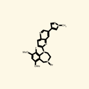 COc1cc(OC)c2c(c1F)N(c1ccc3ncc(-c4cnn(C)c4)cc3n1)CCN(C(C)C)C2